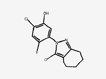 Oc1cc(-n2nc3c(c2Cl)CCCC3)c(F)cc1Cl